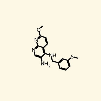 COc1ccc2c(NCc3cccc(SC)c3)c(N)cnc2n1